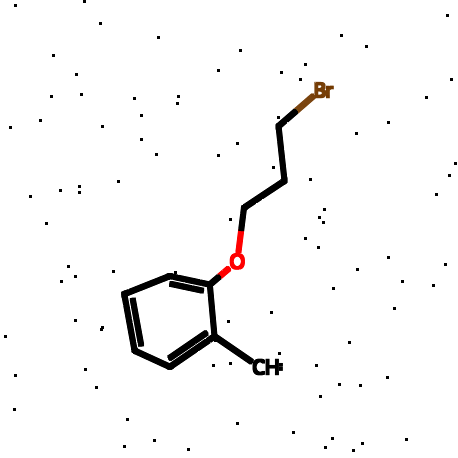 [CH]c1ccccc1OCCCBr